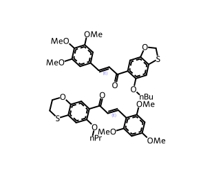 CCCCOc1cc2c(cc1C(=O)/C=C/c1cc(OC)c(OC)c(OC)c1)OCS2.CCCOc1cc2c(cc1C(=O)/C=C/c1c(OC)cc(OC)cc1OC)OCCS2